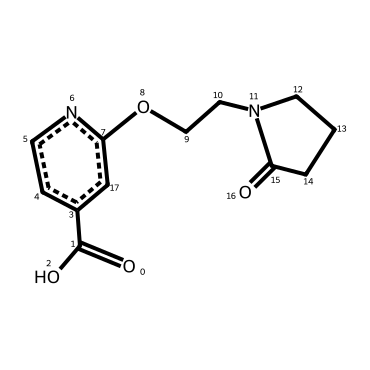 O=C(O)c1ccnc(OCCN2CCCC2=O)c1